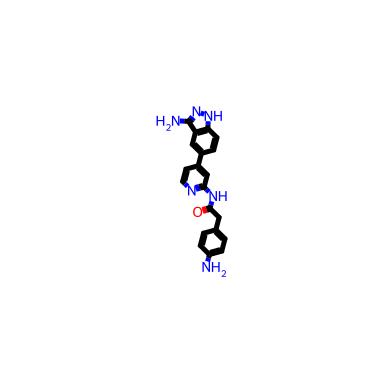 Nc1ccc(CC(=O)Nc2cc(-c3ccc4[nH]nc(N)c4c3)ccn2)cc1